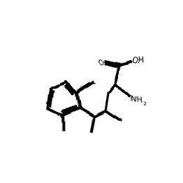 Cc1cccc(C)c1C(C)C(C)CC(N)C(=O)O